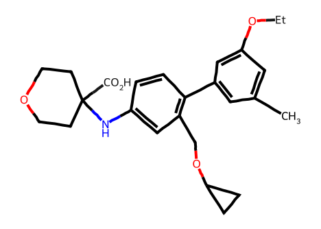 CCOc1cc(C)cc(-c2ccc(NC3(C(=O)O)CCOCC3)cc2COC2CC2)c1